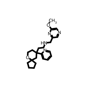 COc1cncc(CNCCC2(c3ccccn3)CCOC3(CCCC3)C2)n1